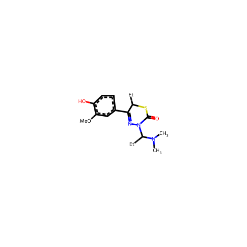 CCC1SC(=O)N(C(CC)N(C)C)N=C1c1ccc(O)c(OC)c1